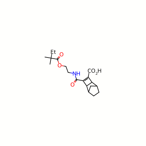 CCC(C)(C)C(=O)OCCNC(=O)C1=C(C(=O)O)C2C3CCC(C3)C12